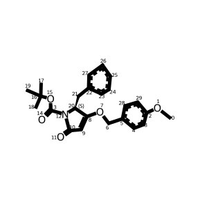 COc1ccc(COC2=CC(=O)N(C(=O)OC(C)(C)C)[C@H]2Cc2ccccc2)cc1